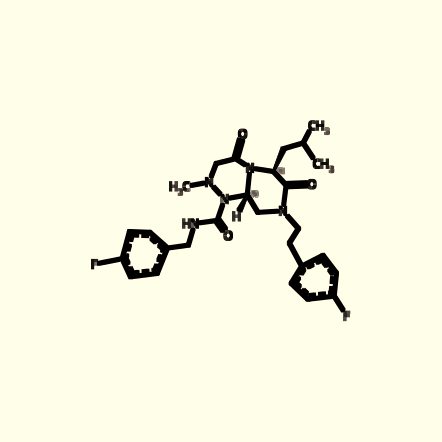 CC(C)C[C@H]1C(=O)N(CCc2ccc(F)cc2)C[C@H]2N1C(=O)CN(C)N2C(=O)NCc1ccc(F)cc1